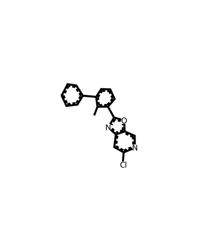 Cc1c(-c2ccccc2)cccc1-c1nc2cc(Cl)ncc2o1